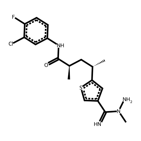 C[C@H](C[C@H](C)c1cc(C(=N)N(C)N)cs1)C(=O)Nc1ccc(F)c(Cl)c1